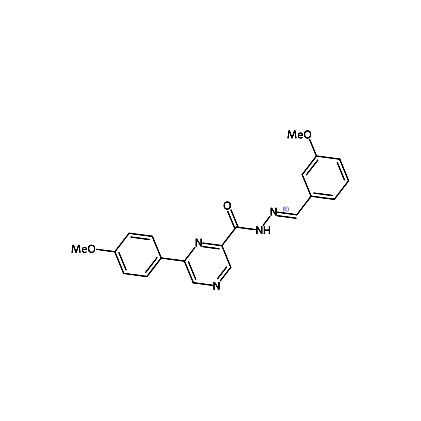 COc1ccc(-c2cncc(C(=O)N/N=C/c3cccc(OC)c3)n2)cc1